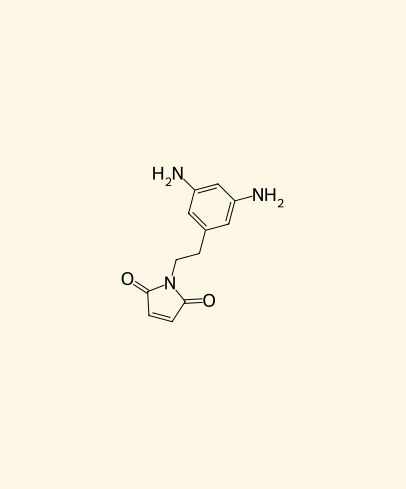 Nc1cc(N)cc(CCN2C(=O)C=CC2=O)c1